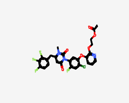 CC(=O)OCCOc1ncccc1Oc1cc(-n2c(=O)cc(Cc3ccc(F)c(F)c3F)n(C)c2=O)c(F)cc1Cl